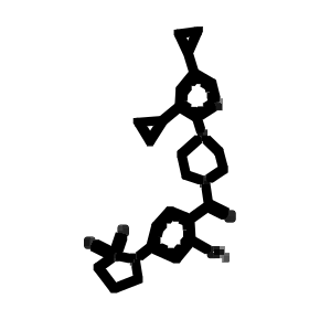 Cc1cc(N2CCCS2(=O)=O)ccc1C(=O)N1CCN(c2ncc(C3CC3)cc2C2CC2)CC1